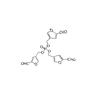 O=Cc1cc(COP(=O)(OCc2coc(C=O)c2)OCc2coc(C=O)c2)co1